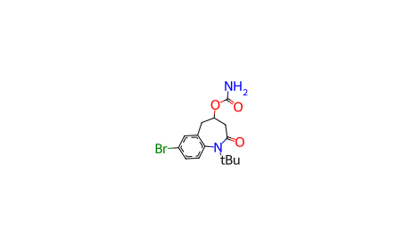 CC(C)(C)N1C(=O)CC(OC(N)=O)Cc2cc(Br)ccc21